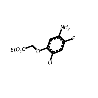 CCOC(=O)COc1cc(N)c(F)cc1Cl